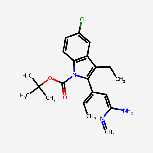 C=N/C(N)=C\C(=C/C)c1c(CC)c2cc(Cl)ccc2n1C(=O)OC(C)(C)C